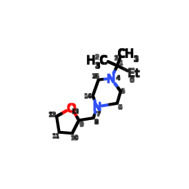 CCC(C)(C)N1CCN(CC2CCCO2)CC1